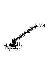 COCCOCCOCCOCCOCCOCCOCCOCCOc1cc(C)c(B2OC(C)(C)C(C)(C)O2)cn1